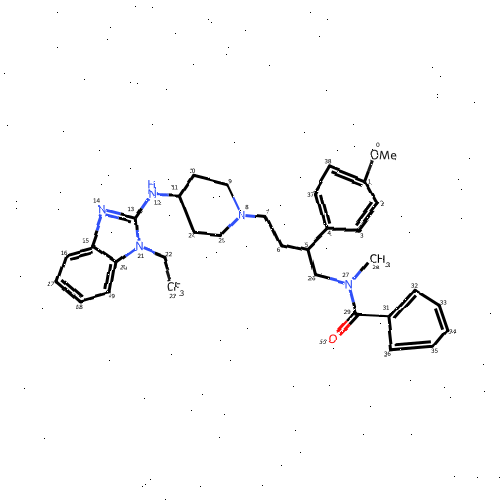 COc1ccc(C(CCN2CCC(Nc3nc4ccccc4n3CC(F)(F)F)CC2)CN(C)C(=O)c2ccccc2)cc1